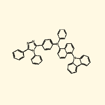 c1ccc(-c2nnc(-c3ccc(N(c4ccccc4)c4cccc5c(-n6c7ccccc7c7ccccc76)cccc45)cc3)n2-c2ccccc2)cc1